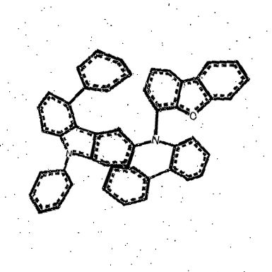 c1ccc(-c2ccccc2N(c2ccc3c(c2)c2c(-c4ccccc4)cccc2n3-c2ccccc2)c2cccc3c2oc2ccccc23)cc1